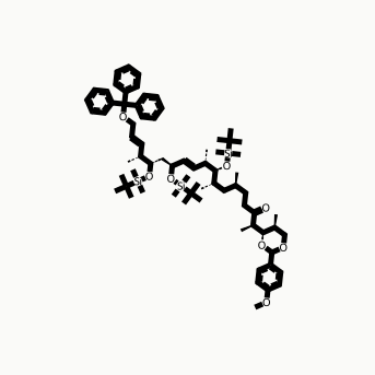 COc1ccc(C2OC[C@H](C)[C@@H]([C@@H](C)C(=O)CC[C@H](C)C[C@H](C)[C@@H](O[Si](C)(C)C(C)(C)C)[C@@H](C)C=C[C@H](C[C@H](O[Si](C)(C)C(C)(C)C)[C@H](C)C=CCOC(c3ccccc3)(c3ccccc3)c3ccccc3)O[Si](C)(C)C(C)(C)C)O2)cc1